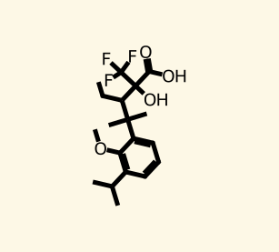 CCC(C(C)(C)c1cccc(C(C)C)c1OC)C(O)(C(=O)O)C(F)(F)F